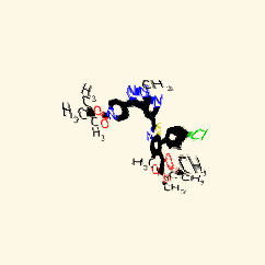 CCOC(=O)[C@@H](OC(C)(C)C)c1c(C)cc2nc(-c3cnc4c(c3)c(C3CCN(C(=O)OC(C)(C)C)CC3)nn4C)sc2c1-c1ccc(Cl)cc1